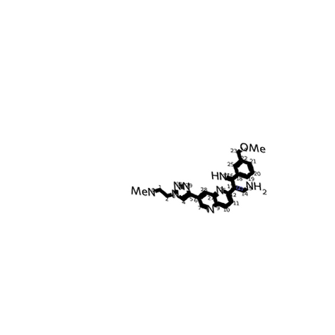 CNCCn1cc(-c2cnc3ccc(/C(=C/N)C(=N)c4cccc(COC)c4)nc3c2)nn1